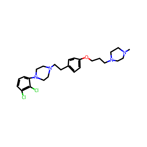 CN1CCN(CCCOc2ccc(CCN3CCN(c4cccc(Cl)c4Cl)CC3)cc2)CC1